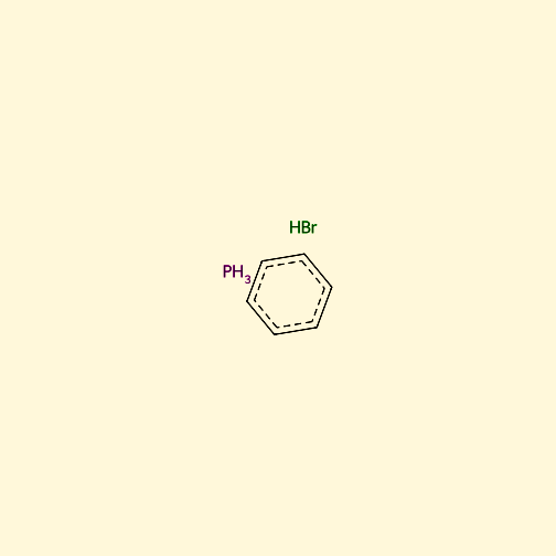 Br.P.c1ccccc1